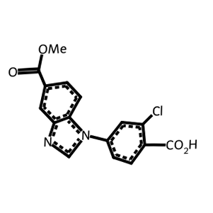 COC(=O)c1ccc2c(c1)ncn2-c1ccc(C(=O)O)c(Cl)c1